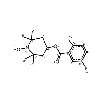 CC1(C)CC(OC(=O)c2cc(F)ccc2I)CC(C)(C)N1O